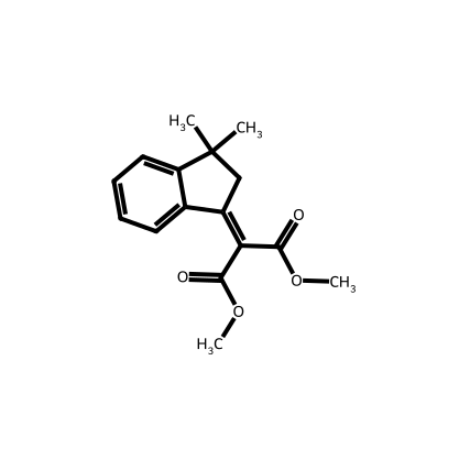 COC(=O)C(C(=O)OC)=C1CC(C)(C)c2ccccc21